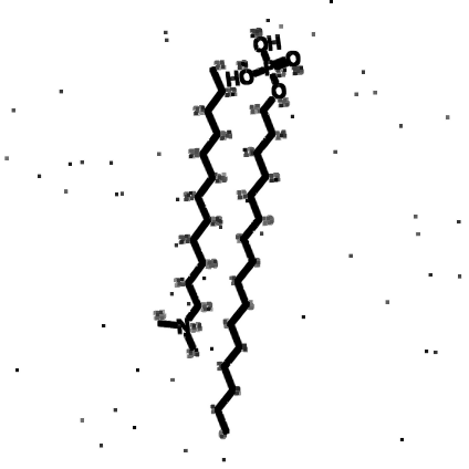 CCCCCCCCCCCCCCCCOP(=O)(O)O.CCCCCCCCCCCCN(C)C